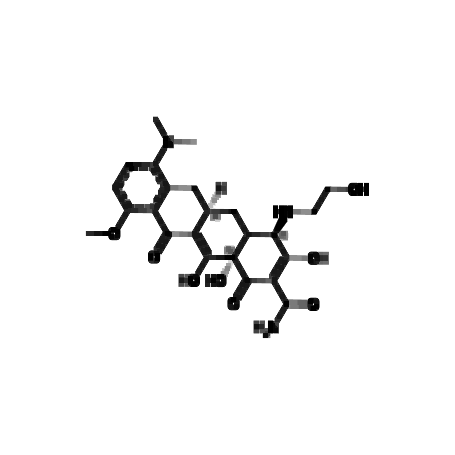 COc1ccc(N(C)C)c2c1C(=O)C1=C(O)[C@]3(O)C(=O)C(C(N)=O)=C(O)[C@H](NCCO)C3C[C@@H]1C2